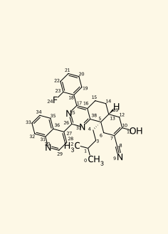 CC(C)CC[C@@]12CC(C#N)=C(O)C[C@H]1CCc1c(-c3ccccc3F)nc(-c3ccnc4ccccc34)nc12